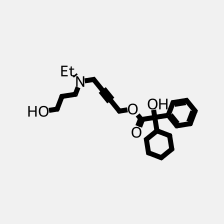 CCN(CC#CCOC(=O)C(O)(c1ccccc1)C1CCCCC1)CCCO